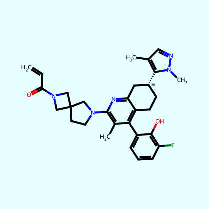 C=CC(=O)N1CC2(CCN(c3nc4c(c(-c5cccc(F)c5O)c3C)CC[C@@H](c3c(C)cnn3C)C4)C2)C1